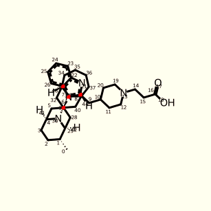 C[C@@H]1CC[C@H]2C[C@@H](n3c(CC4CCN(CCC(=O)O)CC4)nc4ccccc43)C[C@@H]1N2[C@@H]1C[C@@H]2CCCC[C@@H](C2)C1